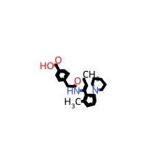 CC/C=C(\NC(=O)Cc1ccc(C(=O)O)cc1)c1c(C)cccc1N1CCCCC1